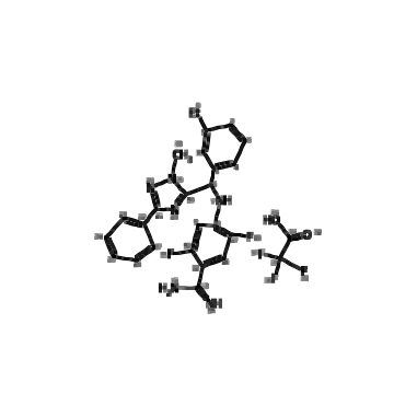 CCc1cccc(C(Nc2cc(F)c(C(=N)N)cc2F)c2nc(-c3ccccc3)nn2C)c1.O=C(O)C(F)(F)F